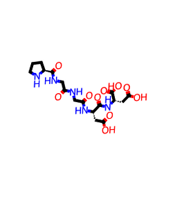 O=C(O)C[C@H](NC(=O)[C@H](CC(=O)O)NC(=O)CNC(=O)CNC(=O)[C@@H]1CCCN1)C(=O)O